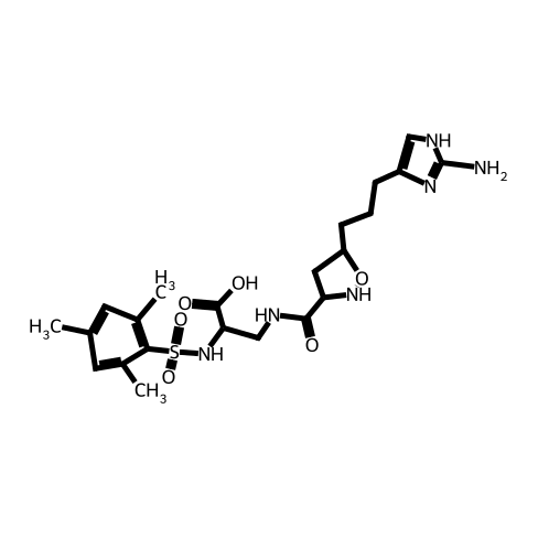 Cc1cc(C)c(S(=O)(=O)NC(CNC(=O)C2CC(CCCc3c[nH]c(N)n3)ON2)C(=O)O)c(C)c1